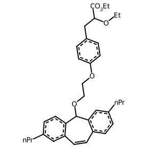 CCCc1ccc2c(c1)C=Cc1ccc(CCC)cc1C2OCCOc1ccc(CC(OCC)C(=O)OCC)cc1